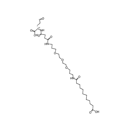 O=[C]CC[C@H](NC(=O)CCC(=O)NCCCOCCOCCOCCCNC(=O)CCCCCCCCCCC(=O)O)C(=O)O